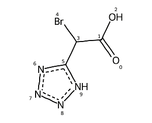 O=C(O)C(Br)c1nnn[nH]1